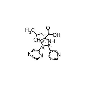 CC(C)C[C@@]1(C(=O)O)C[C@H](c2cnccn2)[C@H](c2cccnc2)N1